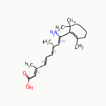 CC1=C(/C(N)=C/C(C)=C/C=C/C(C)=C/C(=O)O)C(C)(C)CCC1